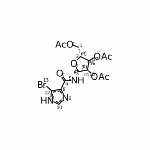 CC(=O)OC[C@H]1O[C@@H](NC(=O)c2nc[nH]c2Br)[C@H](OC(C)=O)[C@@H]1OC(C)=O